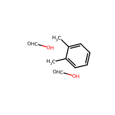 Cc1ccccc1C.O=CO.O=CO